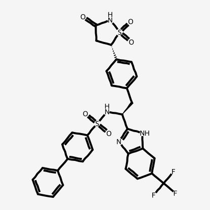 O=C1C[C@@H](c2ccc(C[C@H](NS(=O)(=O)c3ccc(-c4ccccc4)cc3)c3nc4ccc(C(F)(F)F)cc4[nH]3)cc2)S(=O)(=O)N1